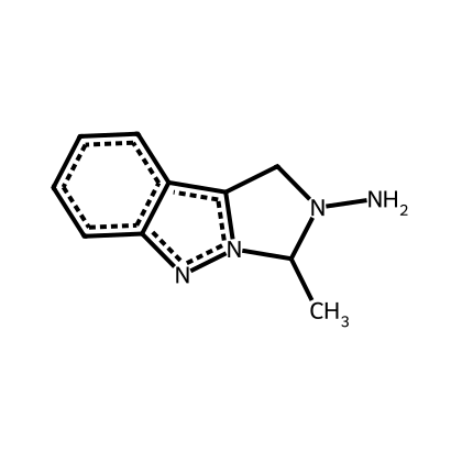 CC1N(N)Cc2c3ccccc3nn21